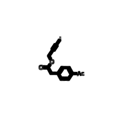 CC(=O)c1ccc(CC(=O)OCC#CI)cc1